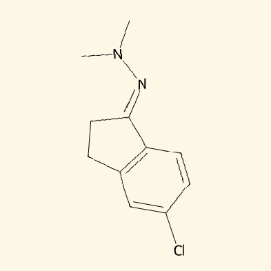 CN(C)N=C1CCc2cc(Cl)ccc21